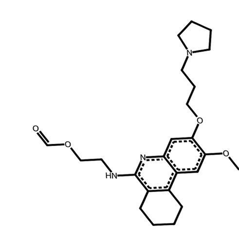 COc1cc2c3c(c(NCCOC=O)nc2cc1OCCCN1CCCC1)CCCC3